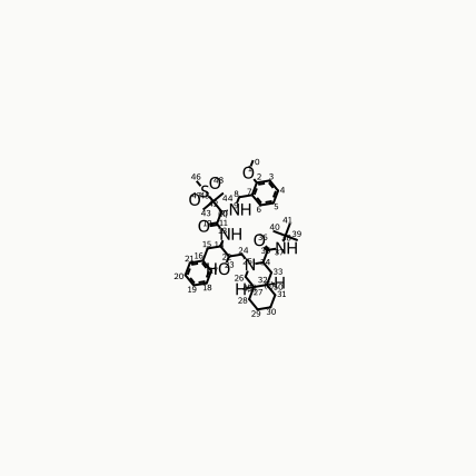 COc1ccccc1CN[C@H](C(=O)NC(Cc1ccccc1)C(O)CN1C[C@H]2CCCC[C@H]2CC1C(=O)NC(C)(C)C)C(C)(C)S(C)(=O)=O